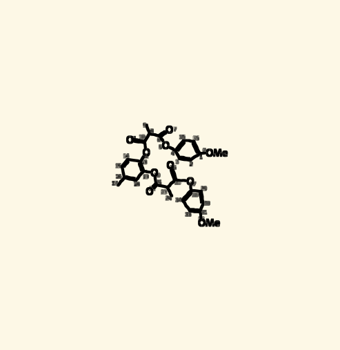 COc1ccc(OC(=O)C(C)C(=O)Oc2ccc(C)cc2OC(=O)C(C)C(=O)Oc2ccc(OC)cc2)cc1